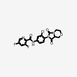 O=C(Nc1ccc(N2C(=O)C3COCCN3C2=O)c(Cl)c1)c1ncc(F)cc1F